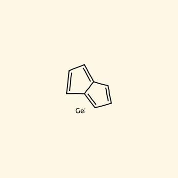 C1=CC2=CC=CC2=C1.[Ge]